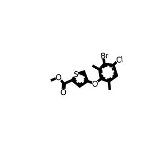 COC(=O)c1cc(Oc2c(C)cc(Cl)c(Br)c2C)cs1